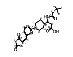 CC(C)(C)OC(=O)NC(CC(=O)O)C1CCN(c2nccc(/C=C3/SC(=O)NC3=O)n2)CC1